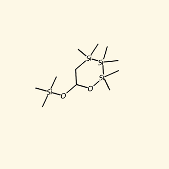 C[Si](C)(C)OC1C[Si](C)(C)[Si](C)(C)[Si](C)(C)O1